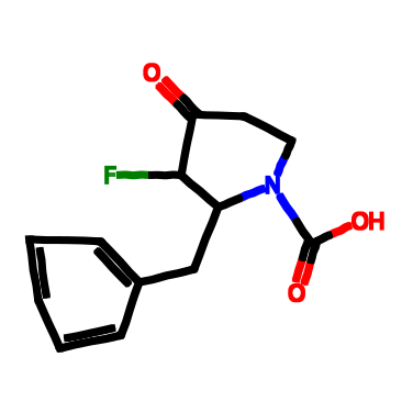 O=C1CCN(C(=O)O)C(Cc2ccccc2)C1F